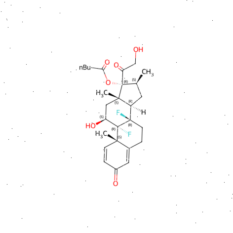 CCCCC(=O)O[C@]1(C(=O)CO)[C@@H](C)C[C@@H]2[C@]1(C)C[C@H](O)[C@]1(F)[C@@]3(C)C=CC(=O)C=C3CC[C@@]21F